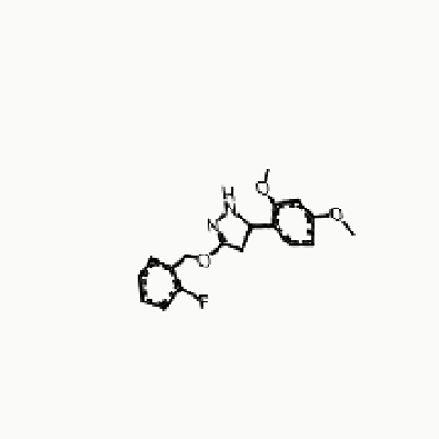 COc1ccc(C2CC(OCc3ccccc3F)=NN2)c(OC)c1